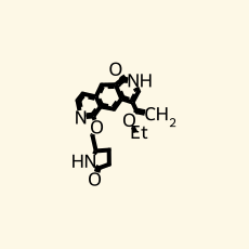 C=C(OCC)c1c[nH]c(=O)c2cc3ccnc(OCC4CCC(=O)N4)c3cc12